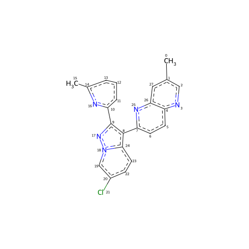 Cc1cnc2ccc(-c3c(-c4cccc(C)n4)nn4cc(Cl)ccc34)nc2c1